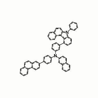 c1ccc(-n2c3cccc(-c4cccc(N(c5ccc(-c6ccc7c(ccc8ccccc87)c6)cc5)c5ccc6ccccc6c5)c4)c3c3c4ccccc4ccc32)cc1